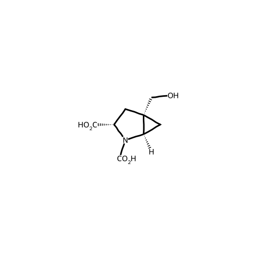 O=C(O)[C@@H]1C[C@@]2(CO)C[C@H]2N1C(=O)O